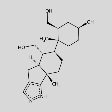 C[C@]1([C@H]2CC[C@]3(C)c4[nH]ncc4C[C@H]3[C@@H]2CO)CC[C@H](O)C[C@@H]1CO